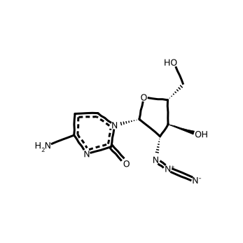 [N-]=[N+]=N[C@H]1[C@H](O)[C@@H](CO)O[C@H]1n1ccc(N)nc1=O